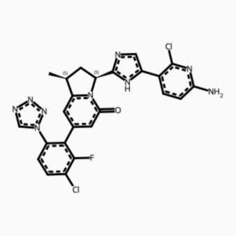 C[C@H]1C[C@@H](c2ncc(-c3ccc(N)nc3Cl)[nH]2)n2c1cc(-c1c(-n3cnnn3)ccc(Cl)c1F)cc2=O